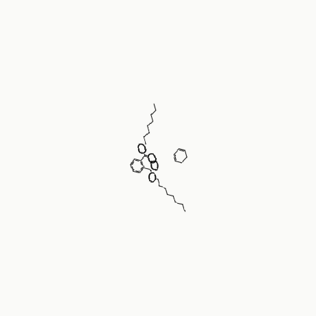 C1=CCCC=C1.CCCCCCCCOC(=O)c1ccccc1C(=O)OCCCCCCCC